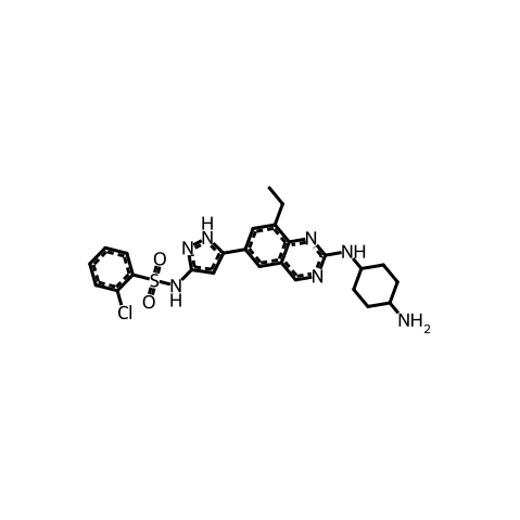 CCc1cc(-c2cc(NS(=O)(=O)c3ccccc3Cl)n[nH]2)cc2cnc(NC3CCC(N)CC3)nc12